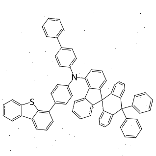 c1ccc(-c2ccc(N(c3ccc(-c4cccc5c4sc4ccccc45)cc3)c3cccc4c3-c3ccccc3C43c4ccccc4C(c4ccccc4)(c4ccccc4)c4ccccc43)cc2)cc1